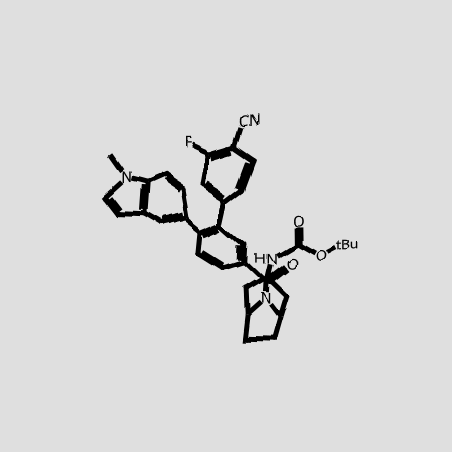 Cn1ccc2cc(-c3ccc(C(=O)N4C5CCC4CC(NC(=O)OC(C)(C)C)C5)cc3-c3ccc(C#N)c(F)c3)ccc21